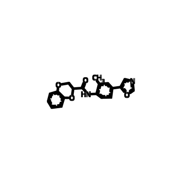 Cc1cc(-c2cnco2)ccc1NC(=O)C1COc2ccccc2O1